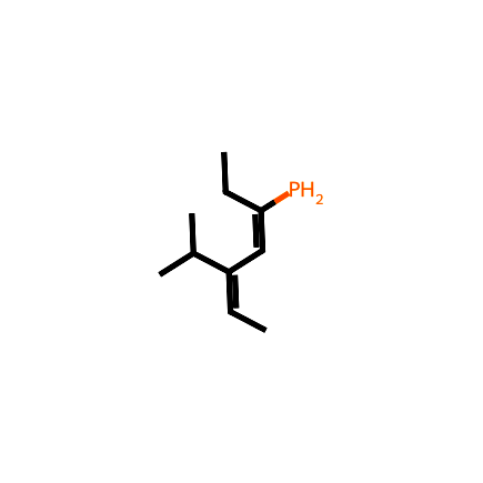 C/C=C(\C=C(\P)CC)C(C)C